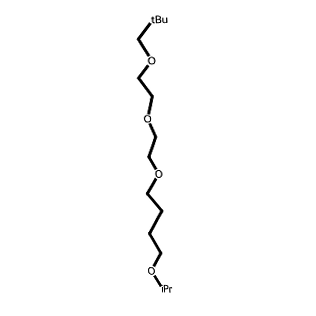 CC(C)OCCCCOCCOCCOCC(C)(C)C